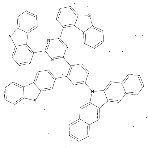 c1ccc2cc3c(cc2c1)c1cc2ccccc2cc1n3-c1ccc(-c2nc(-c3cccc4sc5ccccc5c34)nc(-c3cccc4sc5ccccc5c34)n2)c(-c2ccc3c(c2)sc2ccccc23)c1